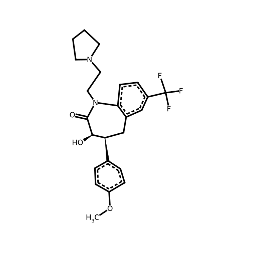 COc1ccc([C@@H]2Cc3cc(C(F)(F)F)ccc3N(CCN3CCCC3)C(=O)[C@@H]2O)cc1